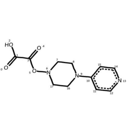 O=C(O)C(=O)ON1CCN(c2ccncc2)CC1